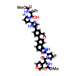 COC(=O)N[C@@H](C(C)C)C(O)N1[C@@H](C)CC[C@H]1c1ncc(-c2ccc3c(c2)COc2cc4c(ccc5nc([C@@H]6C[C@H](C)CN6C(=O)[C@@H](NC(=O)OC)C6CCOCC6)[nH]c54)cc2-3)[nH]1